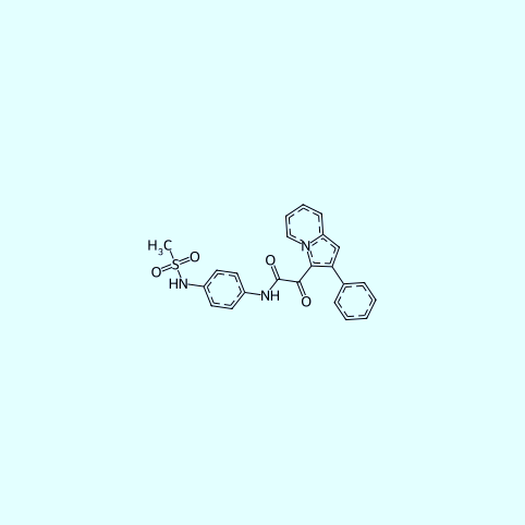 CS(=O)(=O)Nc1ccc(NC(=O)C(=O)c2c(-c3ccccc3)cc3ccccn23)cc1